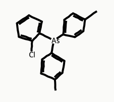 Cc1ccc([As](c2ccc(C)cc2)c2ccccc2Cl)cc1